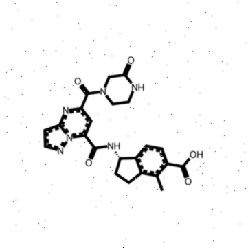 Cc1c(C(=O)O)ccc2c1CC[C@@H]2NC(=O)c1cc(C(=O)N2CCNC(=O)C2)nc2ccnn12